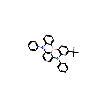 CC(C)(C)c1ccc2c(c1)N(c1ccccc1)c1cccc3c1B2c1ccccc1N3c1ccccc1